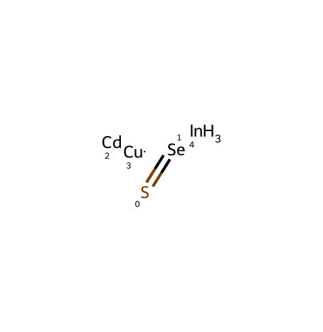 S=[Se].[Cd].[Cu].[InH3]